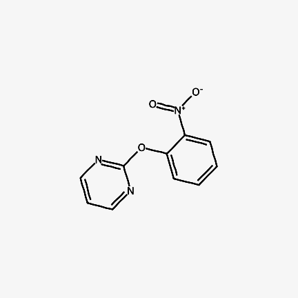 O=[N+]([O-])c1ccccc1Oc1ncccn1